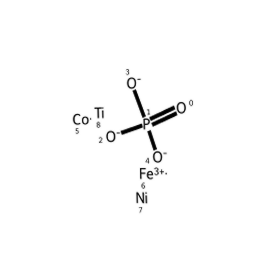 O=P([O-])([O-])[O-].[Co].[Fe+3].[Ni].[Ti]